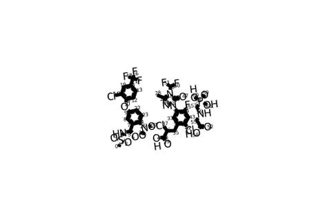 CS(=O)(=O)NC(=O)c1cc(Oc2ccc(C(F)(F)F)cc2Cl)ccc1[N+](=O)[O-].Cc1nn(-c2cc(CC(Cl)C(=O)O)c(Cl)cc2F)c(=O)n1C(F)F.O=C(O)CNCP(=O)(O)O